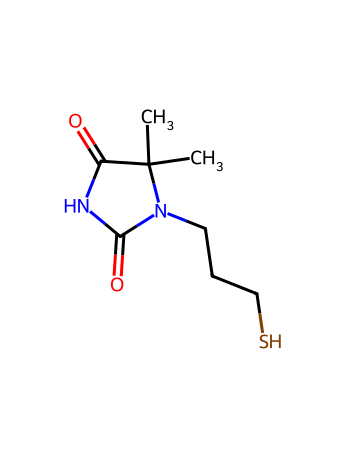 CC1(C)C(=O)NC(=O)N1CCCS